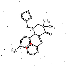 Cc1ccc(C2/C(=C\c3ccccn3)C(=O)C(C)(C)CN2Cc2cccs2)cc1